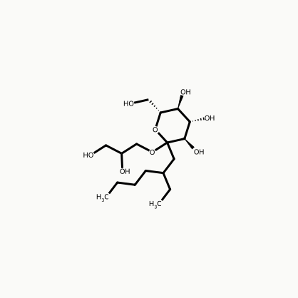 CCCCC(CC)CC1(OCC(O)CO)O[C@H](CO)[C@@H](O)[C@H](O)[C@H]1O